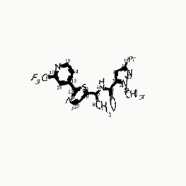 CC(C)c1cc(C(=O)NC(C)c2cnc(-c3ccnc(C(F)(F)F)c3)s2)n(C)n1